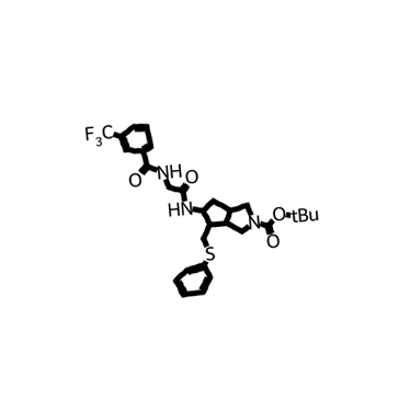 CC(C)(C)OC(=O)N1CC2CC(NC(=O)CNC(=O)c3cccc(C(F)(F)F)c3)C(CSc3ccccc3)C2C1